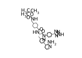 CC(C)(C)OC(=O)NCC1CCC(C(=O)N[C@@H](Cc2ccc(-c3cccnc3N)cc2)C(=O)Nc2ccc(-c3nn[nH]n3)cc2)CC1